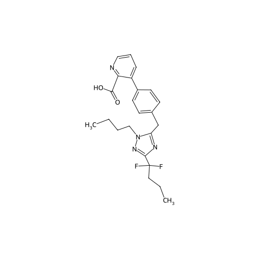 CCCCn1nc(C(F)(F)CCC)nc1Cc1ccc(-c2cccnc2C(=O)O)cc1